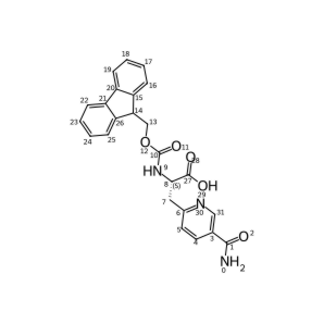 NC(=O)c1ccc(C[C@H](NC(=O)OCC2c3ccccc3-c3ccccc32)C(=O)O)nc1